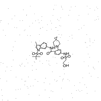 Cc1cn(S(=O)(=O)C(C)(C)C)c2cc(NC(=O)c3ccc(NS(=O)(=O)CCO)cc3N3CCC4(CC3)CC4)ccc12